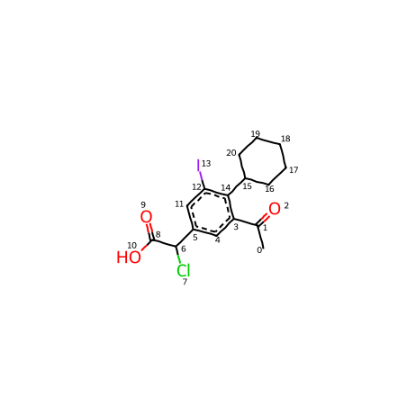 CC(=O)c1cc(C(Cl)C(=O)O)cc(I)c1C1CCCCC1